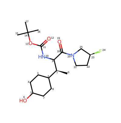 C[C@@H](C1CCC(O)CC1)C(NC(=O)OC(C)(C)C)C(=O)N1CC[C@H](F)C1